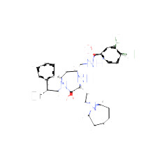 CCC(CN1CC[C@@H](CNC(=O)c2ccc(Cl)c(Cl)c2)N[C@@H](CCN2CCCCCC2)C1=O)c1ccccc1